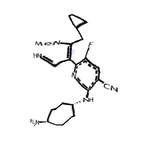 CN/C(CC1CC1)=C(\C=N)c1nc(N[C@H]2CC[C@H](N)CC2)c(C#N)cc1F